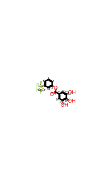 O=C(Oc1cccc(S(F)(F)(F)(F)F)c1)c1cc(O)c(O)c(O)c1